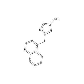 Nc1cnn(Cc2cccc3ccccc23)c1